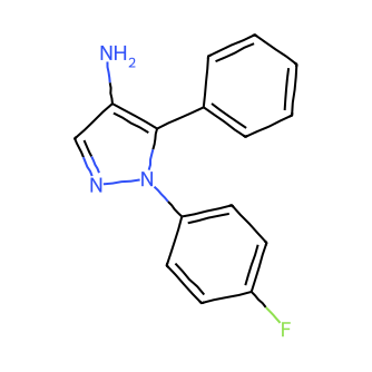 Nc1cnn(-c2ccc(F)cc2)c1-c1ccccc1